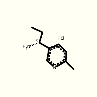 CC[C@@H](N)c1ccc(C)nc1.Cl